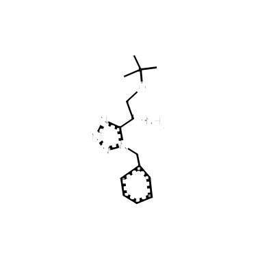 CC(C)(C)OC[C@H](N)c1nnnn1Cc1ccccc1